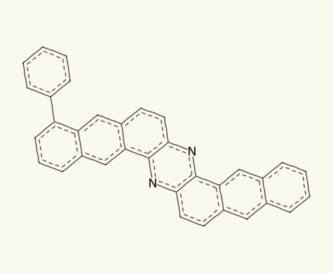 c1ccc(-c2cccc3cc4c(ccc5nc6c(ccc7cc8ccccc8cc76)nc54)cc23)cc1